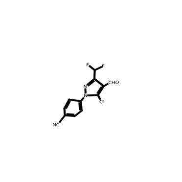 N#Cc1ccc(-n2nc(C(F)F)c(C=O)c2Cl)cc1